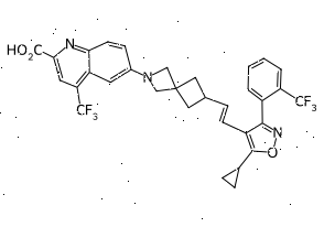 O=C(O)c1cc(C(F)(F)F)c2cc(N3CC4(CC(C=Cc5c(-c6ccccc6C(F)(F)F)noc5C5CC5)C4)C3)ccc2n1